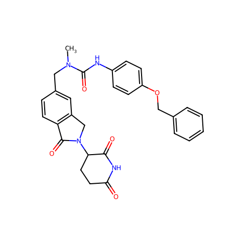 CN(Cc1ccc2c(c1)CN(C1CCC(=O)NC1=O)C2=O)C(=O)Nc1ccc(OCc2ccccc2)cc1